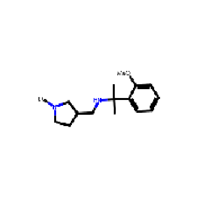 CCN1CCC(CNC(C)(C)c2ccccc2OC)C1